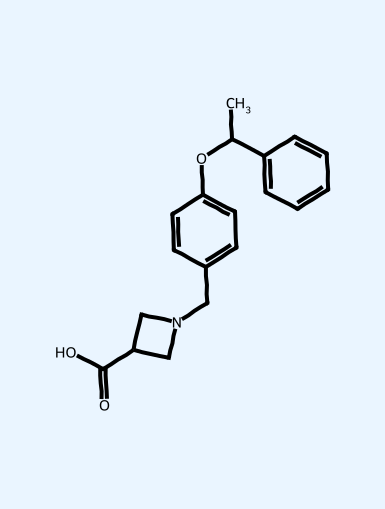 CC(Oc1ccc(CN2CC(C(=O)O)C2)cc1)c1ccccc1